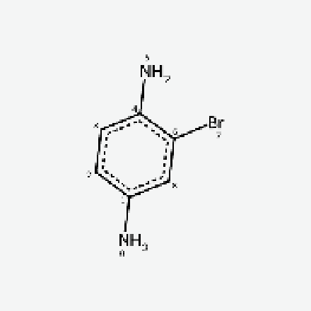 Nc1ccc(N)c(Br)c1